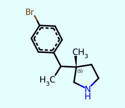 CC(c1ccc(Br)cc1)[C@]1(C)CCNC1